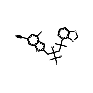 Cc1cc(C#N)cc2[nH]c(CC(O)(CC(C)(C)c3cccc4c3OCO4)C(F)(F)F)cc12